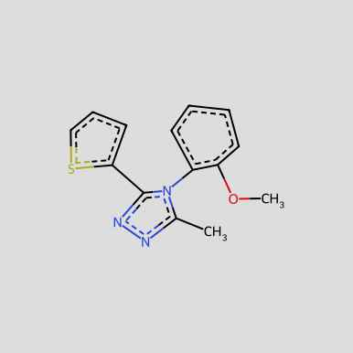 COc1ccccc1-n1c(C)nnc1-c1cccs1